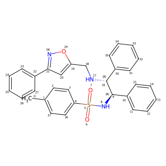 Cc1ccc(S(=O)(=O)N[C@H](c2ccccc2)[C@H](NCc2cc(-c3ccccc3)no2)c2ccccc2)cc1